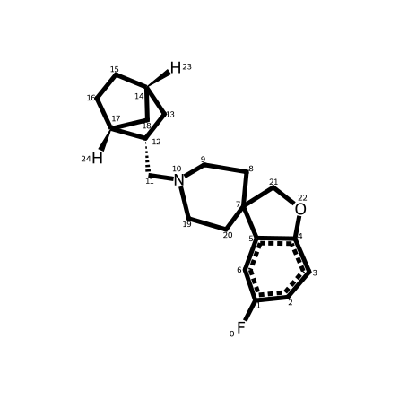 Fc1ccc2c(c1)C1(CCN(C[C@H]3C[C@H]4CC[C@@H]3C4)CC1)CO2